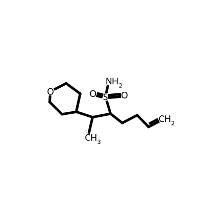 C=CCCC(C(C)C1CCOCC1)S(N)(=O)=O